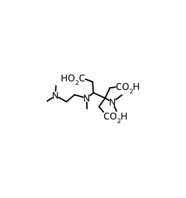 CN(C)CCN(C)C(CC(=O)O)C(CC(=O)O)(CC(=O)O)N(C)C